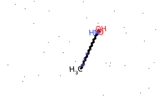 CC/C=C/C/C=C/C/C=C/CCCCCCCCCCNC(=O)O